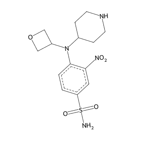 NS(=O)(=O)c1ccc(N(C2CCNCC2)C2COC2)c([N+](=O)[O-])c1